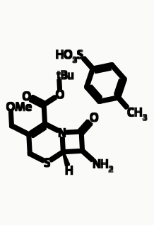 COCC1=C(C(=O)OC(C)(C)C)N2C(=O)C(N)[C@@H]2SC1.Cc1ccc(S(=O)(=O)O)cc1